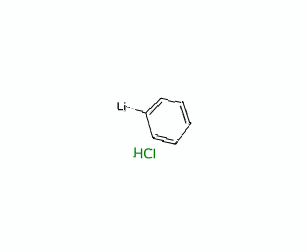 Cl.[Li][c]1ccccc1